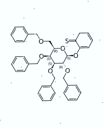 S=C1CC=CC=C1O[C@@H]1O[C@H](COCc2ccccc2)[C@H](OCc2ccccc2)[C@H](OCc2ccccc2)[C@H]1OCc1ccccc1